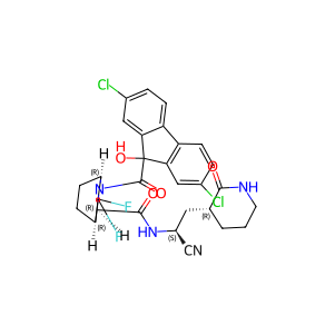 N#C[C@H](C[C@H]1CCCNC1=O)NC(=O)[C@H]1[C@H]2CC[C@H](CC2(F)F)N1C(=O)C1(O)c2cc(Cl)ccc2-c2ccc(Cl)cc21